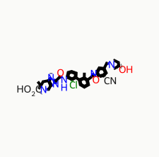 Cc1c(-c2nc3cc(CN4CC[C@@H](O)C4)cc(C#N)c3o2)cccc1-c1cccc(NC(=O)c2nc3c(n2C)CC(C)(C(=O)O)N(C)C3)c1Cl